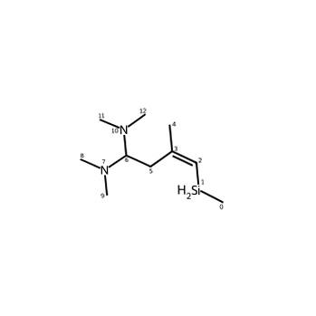 C[SiH2]C=C(C)CC(N(C)C)N(C)C